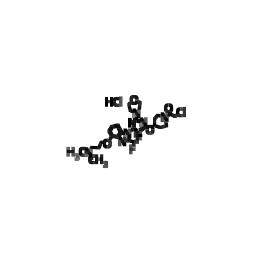 CN(C)CCCOc1cccc2c1nc(C(F)F)n2-c1nc(OC2CCN(C(=O)CCl)CC2)nc(N2CCOCC2)n1.Cl